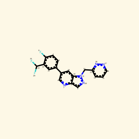 Fc1ccc(-c2cnc3cnn(Cc4cccnn4)c3c2)cc1C(F)F